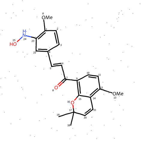 COc1ccc(C=CC(=O)c2ccc(OC)c3c2OC(C)(C)C=C3)cc1NO